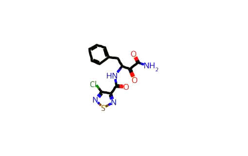 NC(=O)C(=O)C(Cc1ccccc1)NC(=O)c1nsnc1Cl